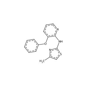 Cc1csc(Nc2ncccc2Oc2ccccc2)n1